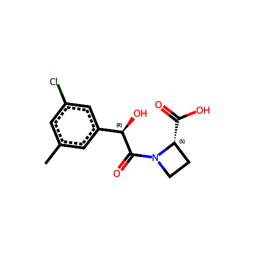 Cc1cc(Cl)cc([C@@H](O)C(=O)N2CC[C@H]2C(=O)O)c1